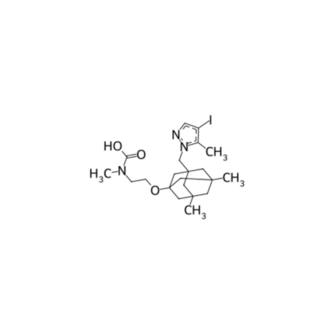 Cc1c(I)cnn1CC12CC3(C)CC(C)(C1)CC(OCCN(C)C(=O)O)(C3)C2